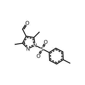 Cc1ccc(S(=O)(=O)n2nc(C)c(C=O)c2C)cc1